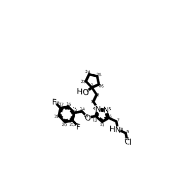 OC1(CCn2nc(CNCCl)cc2OCc2cc(F)ccc2F)CCCC1